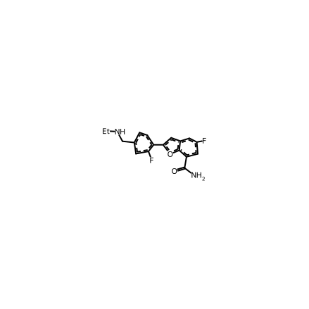 CCNCc1ccc(-c2cc3cc(F)cc(C(N)=O)c3o2)c(F)c1